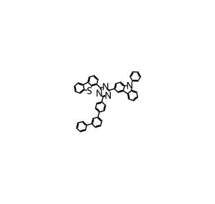 c1ccc(-c2cccc(-c3ccc(-c4nc(-c5ccc6c(c5)c5ccccc5n6-c5ccccc5)nc(-c5cccc6c5sc5ccccc56)n4)cc3)c2)cc1